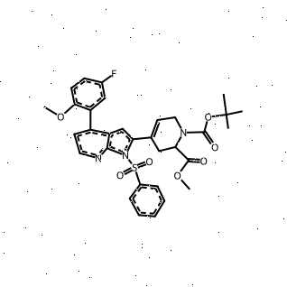 COC(=O)C1CC(c2cc3c(-c4cc(F)ccc4OC)ccnc3n2S(=O)(=O)c2ccccc2)=CCN1C(=O)OC(C)(C)C